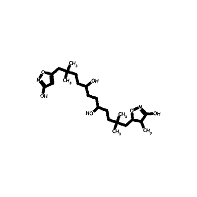 CC1C(O)=NOC1CC(C)(C)CCC(O)CCC(O)CCC(C)(C)Cc1cc(O)no1